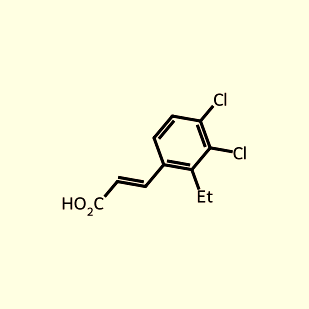 CCc1c(C=CC(=O)O)ccc(Cl)c1Cl